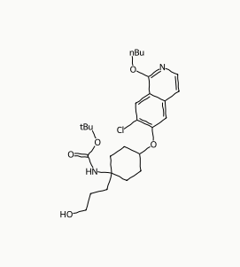 CCCCOc1nccc2cc(OC3CCC(CCCO)(NC(=O)OC(C)(C)C)CC3)c(Cl)cc12